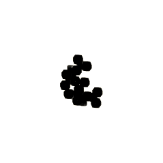 c1ccc(N(c2ccccc2)c2ccc3c(c2)Sc2cccc4c2B3c2cc3c5ccccc5c5cc6c(cc5c3cc2N4c2ccccc2)N(c2ccccc2)c2cccc3c2B6c2ccc(N(c4ccccc4)c4ccccc4)cc2S3)cc1